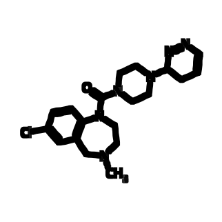 CN1CCN(C(=O)N2CCN(C3CC=CN=N3)CC2)c2ccc(Cl)cc2C1